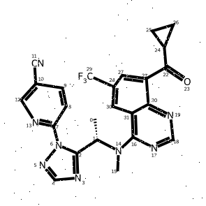 C[C@@H](c1ncnn1-c1ccc(C#N)cn1)N(C)c1ncnc2c(C(=O)C3CC3)cc(C(F)(F)F)cc12